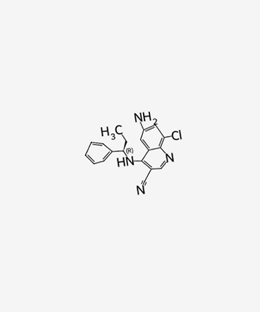 CC[C@@H](Nc1c(C#N)cnc2c(Cl)cc(N)cc12)c1ccccc1